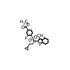 COC(=O)c1ccc(S(=O)(=O)N(CCC2CC2)c2sc3ccccc3c2C)c(F)c1